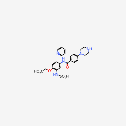 O=C(O)COc1ccc(NC(=O)c2ccc(N3CCNCC3)cc2)cc1NS(=O)(=O)O.c1ccncc1